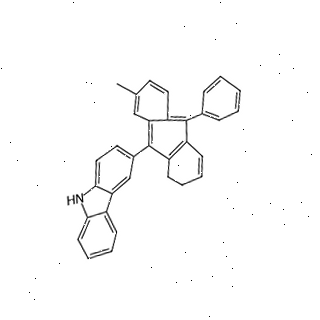 Cc1ccc2c(-c3ccccc3)c3c(c(-c4ccc5[nH]c6ccccc6c5c4)c2c1)CCC=C3